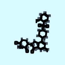 O=C1CCC(N2Cc3c(cc(F)cc3C3CCN(S(=O)(=O)c4ccccc4F)CC3)C2=O)C(=O)N1